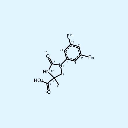 CC1(C(=O)O)CN(c2cc(F)cc(F)c2)C(=O)N1